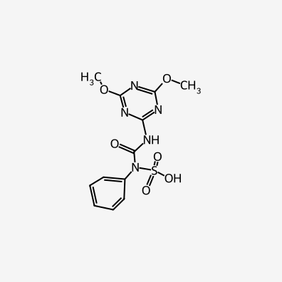 COc1nc(NC(=O)N(c2ccccc2)S(=O)(=O)O)nc(OC)n1